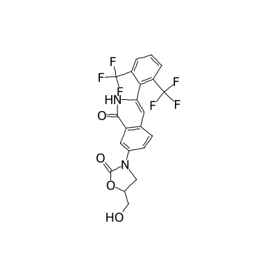 O=C1OC(CO)CN1c1ccc2cc(-c3c(C(F)(F)F)cccc3C(F)(F)F)[nH]c(=O)c2c1